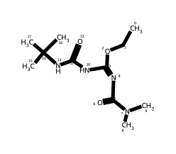 CCOC(=NC(=O)N(C)C)NC(=O)NC(C)(C)C